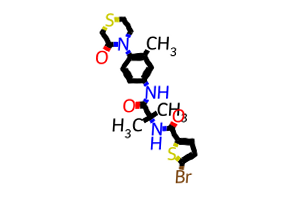 Cc1cc(NC(=O)C(C)(C)NC(=O)c2ccc(Br)s2)ccc1N1CCSCC1=O